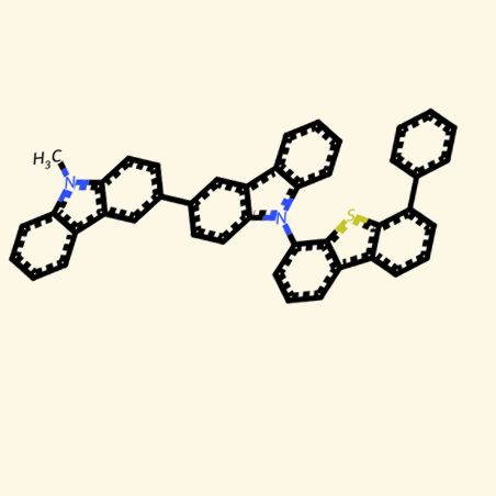 Cn1c2ccccc2c2cc(-c3ccc4c(c3)c3ccccc3n4-c3cccc4c3sc3c(-c5ccccc5)cccc34)ccc21